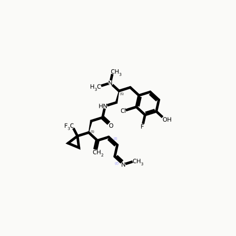 C=C(/C=C\C=N/C)[C@H](CC(=O)NC[C@H](Cc1ccc(O)c(F)c1Cl)N(C)C)C1(C(F)(F)F)CC1